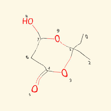 CC1(C)OC(=O)CC(O)O1